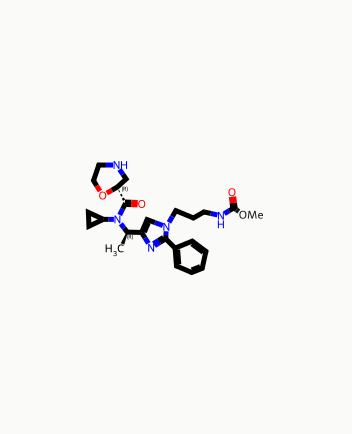 COC(=O)NCCCn1cc([C@@H](C)N(C(=O)[C@H]2CNCCO2)C2CC2)nc1-c1ccccc1